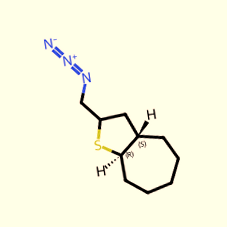 [N-]=[N+]=NCC1C[C@@H]2CCCCC[C@H]2S1